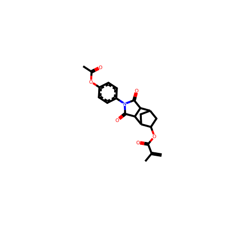 C=C(C)C(=O)OC1CC2CC1C1C(=O)N(c3ccc(OC(C)=O)cc3)C(=O)C21